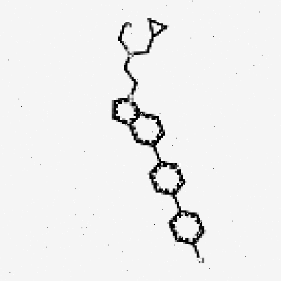 CC(C)CN(CCn1ccc2cc(-c3ccc(-c4ccc(Cl)cc4)cn3)ccc21)CC1CC1